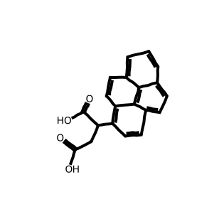 O=C(O)CC(C(=O)O)c1ccc2ccc3cccc4ccc1c2c34